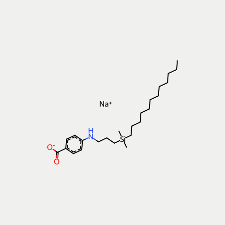 CCCCCCCCCCCC[Si](C)(C)CCCNc1ccc(C(=O)[O-])cc1.[Na+]